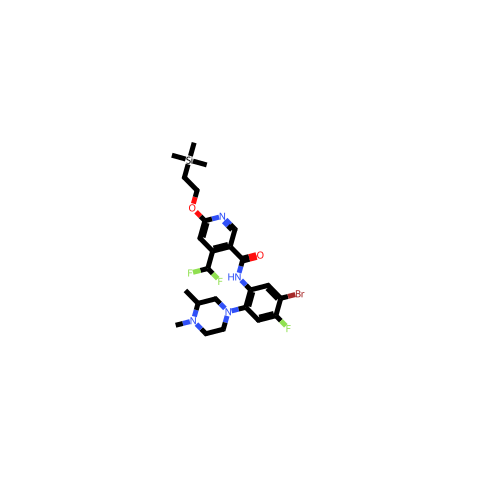 CC1CN(c2cc(F)c(Br)cc2NC(=O)c2cnc(OCC[Si](C)(C)C)cc2C(F)F)CCN1C